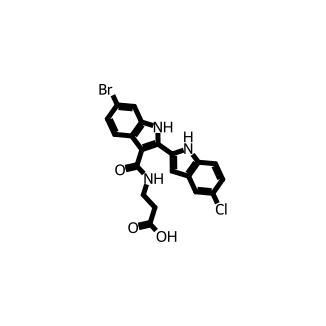 O=C(O)CCNC(=O)c1c(-c2cc3cc(Cl)ccc3[nH]2)[nH]c2cc(Br)ccc12